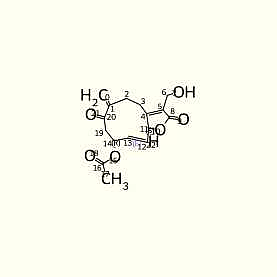 C=C1CCC2=C(CO)C(=O)O[C@H]2/C=C/[C@H](OC(C)=O)CC1=O